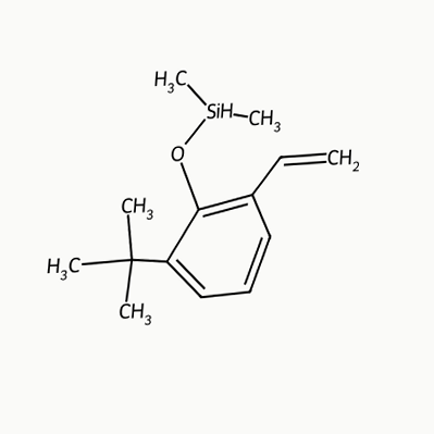 C=Cc1cccc(C(C)(C)C)c1O[SiH](C)C